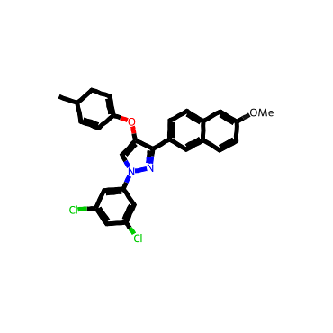 COc1ccc2cc(-c3nn(-c4cc(Cl)cc(Cl)c4)cc3OC3=CCC(C)C=C3)ccc2c1